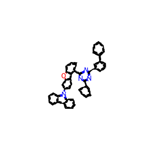 c1ccc(-c2cccc(-c3nc(-c4ccccc4)nc(-c4cccc5oc6cc(-n7c8ccccc8c8ccccc87)ccc6c45)n3)c2)cc1